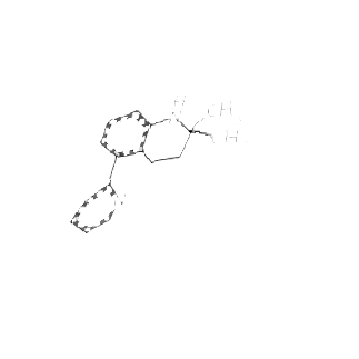 CC1(C)CCc2c(cccc2-c2ccccn2)N1